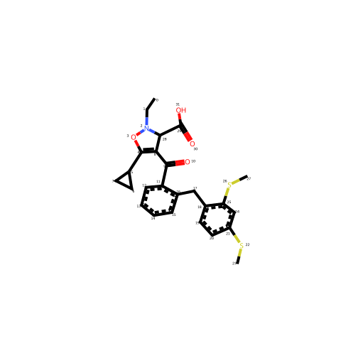 CCN1OC(C2CC2)=C(C(=O)c2ccccc2Cc2ccc(SC)cc2SC)C1C(=O)O